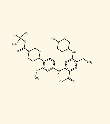 CCc1nc(C(N)=O)c(Nc2ccc(C3CCN(C(=O)OC(C)(C)C)CC3)c(OC)c2)nc1NC1CCC(O)CC1